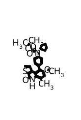 COc1cc(C)c2[nH]c(=O)c3sccc3c2c1-c1ccc(N(C(=O)OC(C)(C)C)C2CCCC2)cc1